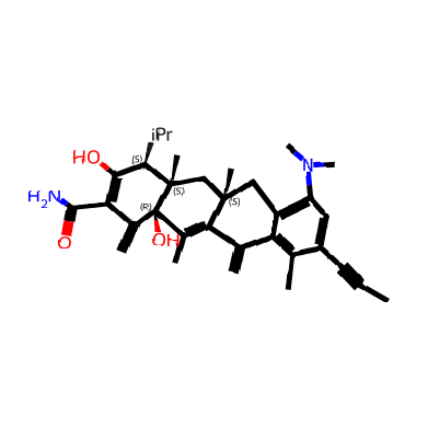 C=C1C2=C(C)[C@]3(O)C(=C)C(C(N)=O)=C(O)[C@@H](C(C)C)[C@]3(C)C[C@]2(C)Cc2c(N(C)C)cc(C#CC)c(C)c21